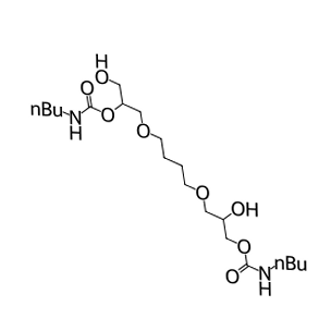 CCCCNC(=O)OCC(O)COCCCCOCC(CO)OC(=O)NCCCC